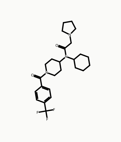 O=C(c1ccc(C(F)(F)F)cc1)N1CCC(N(C(=O)CN2CCCC2)C2CCCCC2)CC1